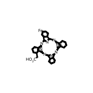 O=C(O)[CH]c1cccc2c3nc4nc(nc5[nH]c(nc6nc(nc([nH]3)c12)-c1ccccc1-6)c1ccccc51)-c1ccccc1-4.[Fe]